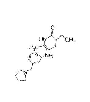 CCc1cc(Nc2cccc(CN3CCCC3)c2)c(C)[nH]c1=O